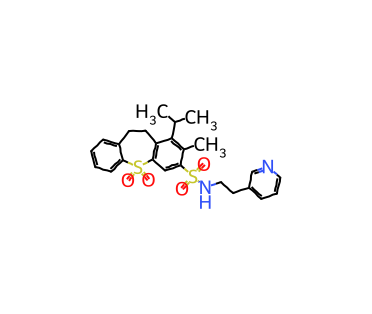 Cc1c(S(=O)(=O)NCCc2cccnc2)cc2c(c1C(C)C)CCc1ccccc1S2(=O)=O